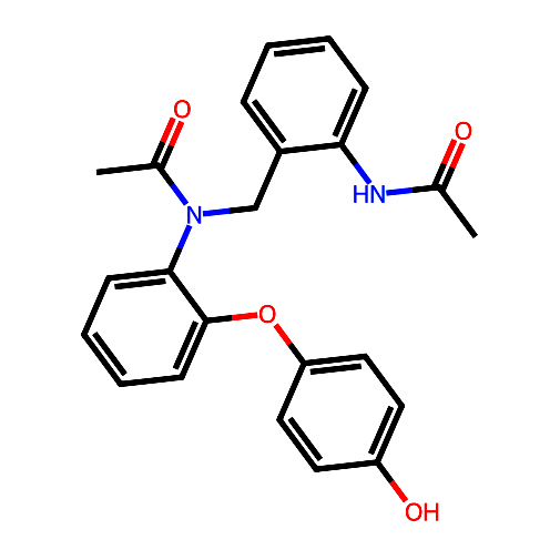 CC(=O)Nc1ccccc1CN(C(C)=O)c1ccccc1Oc1ccc(O)cc1